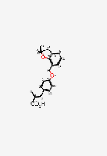 CC(Cc1ccc(OCc2cccc3c2OC(C)(C)C3)cc1)C(=O)O